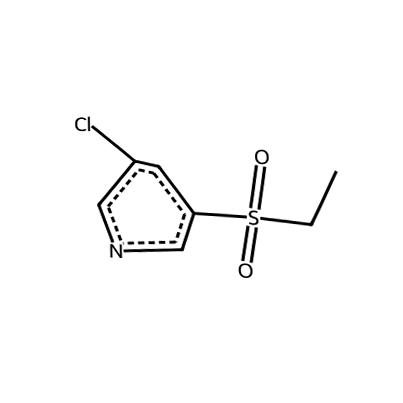 CCS(=O)(=O)c1cncc(Cl)c1